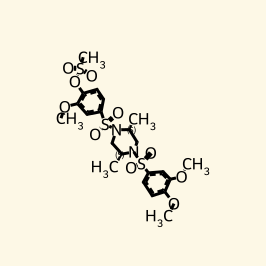 COc1ccc(S(=O)(=O)N2C[C@H](C)N(S(=O)(=O)c3ccc(OS(C)(=O)=O)c(OC)c3)C[C@@H]2C)cc1OC